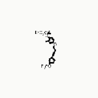 CCOC(=O)C(C)(C)Oc1ccc(OCCC#Cc2ccc(OC(F)(F)F)cc2)cc1C